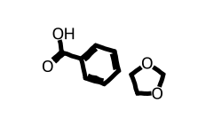 C1COCO1.O=C(O)c1ccccc1